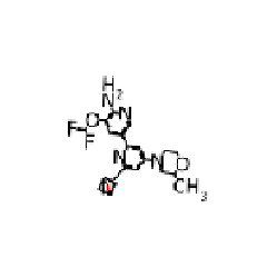 C[C@H]1CN(c2cc(-c3cnc(N)c(OC(F)F)c3)nc(N3CC4CC3C4)c2)CCO1